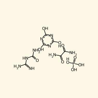 N=C(N)NC(N)=O.NC(=O)C(N)=O.O=P(O)(O)O.Oc1nc(O)nc(O)n1